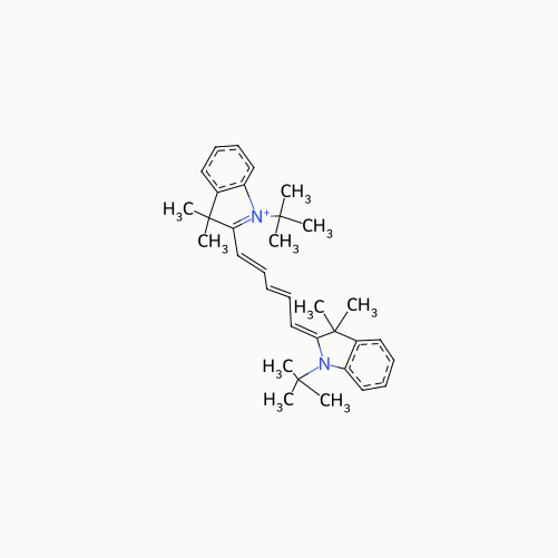 CC1(C)C(/C=C/C=C/C=C2/N(C(C)(C)C)c3ccccc3C2(C)C)=[N+](C(C)(C)C)c2ccccc21